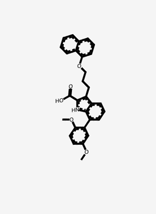 COc1ccc(OC)c(-c2cccc3c(CCCOc4cccc5ccccc45)c(C(=O)O)[nH]c23)c1